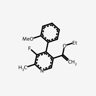 C=C(OCC)c1cnc(C)c(F)c1-c1ccccc1OC